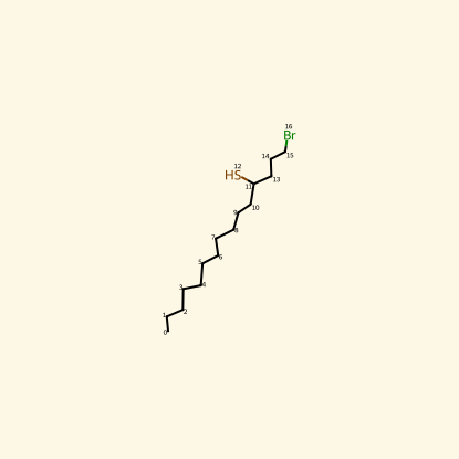 CCCCCCCCCCCC(S)CCCBr